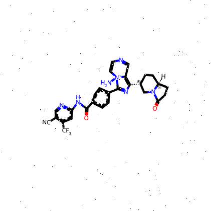 N#Cc1cnc(NC(=O)c2ccc(C3=NC([C@@H]4CC[C@H]5CCC(=O)N5C4)=C4C=NC=C[N+]34N)cc2)cc1C(F)(F)F